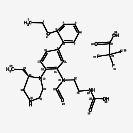 CCOc1ccccc1-c1ccc(N2CCNC[C@H]2CC)c(N(C=O)CCNC(=O)O)c1.O=C(O)C(F)(F)F